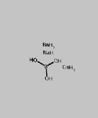 OB(O)O.[BaH2].[GaH3].[NaH]